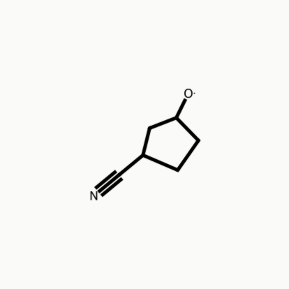 N#CC1CCC([O])C1